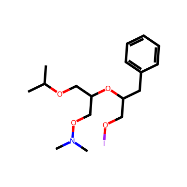 CC(C)OCC(CON(C)C)OC(COI)Cc1ccccc1